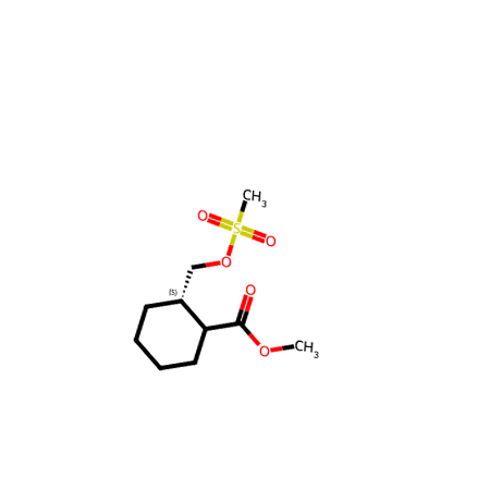 COC(=O)C1CCCC[C@@H]1COS(C)(=O)=O